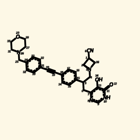 N#CC1CN(CC(Cc2nc[nH]c(=O)c2O)c2ccc(C#Cc3ccc(CN4CCOCC4)cc3)cc2)C1